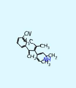 C=C(C(=C(C)C)C(/C=C\C)=C/C(C)=N)c1cccc(C#N)c1